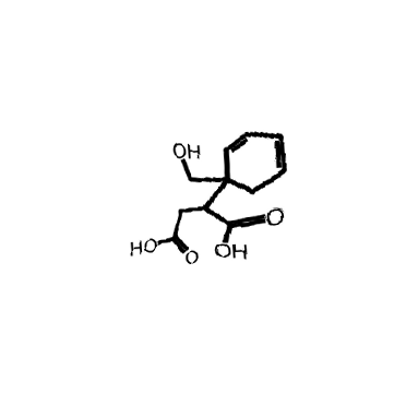 O=C(O)CC(C(=O)O)C1(CO)C=CC=CC1